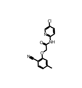 Cc1ccc(C#N)c(OCC(=O)Nc2ccc(Cl)cn2)c1